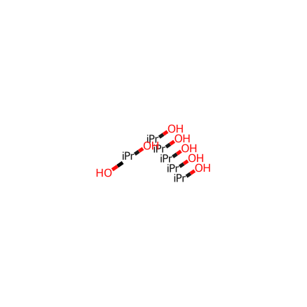 CC(C)O.CC(C)O.CC(C)O.CC(C)O.CC(C)O.CC(C)O.CO